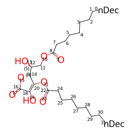 CCCCCCCCCCCCCCCCCC(=O)OC[C@H](O)[C@H]1OC(=O)C(O)=C1OC(=O)CCCCCCCCCCCCCCCCC